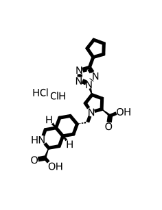 Cl.Cl.O=C(O)[C@@H]1C[C@H]2C[C@@H](CN3C[C@@H](n4nnc(C5CCCC5)n4)C[C@H]3C(=O)O)CC[C@H]2CN1